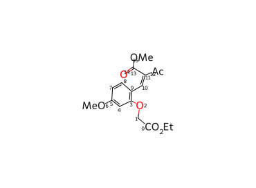 CCOC(=O)COc1cc(OC)ccc1C=C(C(C)=O)C(=O)OC